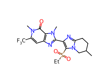 CCS(=O)(=O)c1c(-c2nc3cc(C(F)(F)F)n(C)c(=O)c3n2C)nc2n1CC(C)CC2